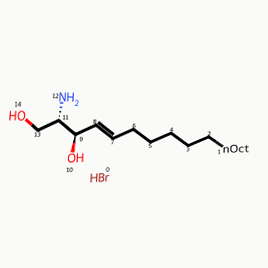 Br.CCCCCCCCCCCCC/C=C/[C@@H](O)[C@@H](N)CO